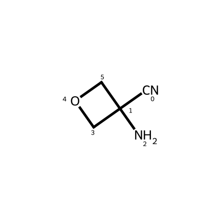 N#CC1(N)COC1